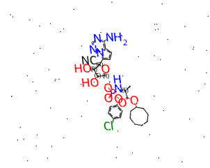 C[C@H](NP(=O)(OC[C@H]1O[C@@](C#N)(c2ccc3c(N)ncnn23)[C@H](O)[C@@H]1O)Oc1ccc(Cl)cc1)C(=O)OC1CCCCCCC1